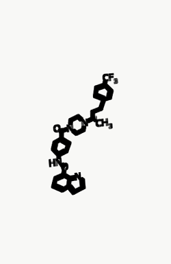 C[C@H](CCc1ccc(C(F)(F)F)cc1)N1CCN(C(=O)c2ccc(NOc3cccc4cccnc34)cc2)CC1